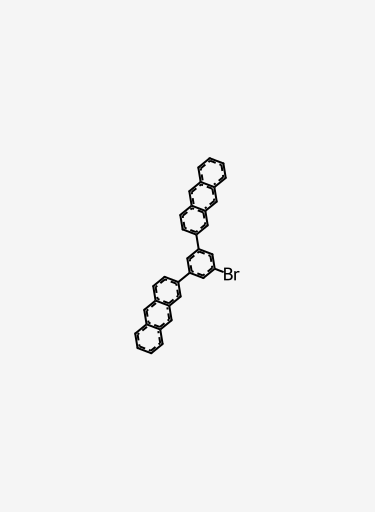 Brc1cc(-c2ccc3cc4ccccc4cc3c2)cc(-c2ccc3cc4ccccc4cc3c2)c1